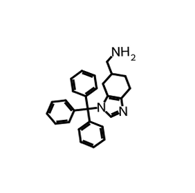 NCC1CCc2ncn(C(c3ccccc3)(c3ccccc3)c3ccccc3)c2C1